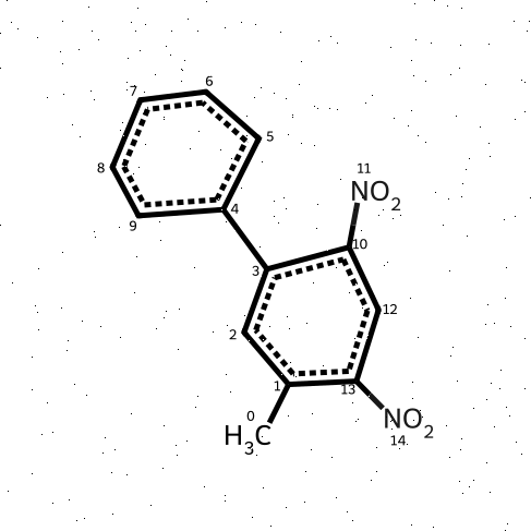 Cc1cc(-c2ccccc2)c([N+](=O)[O-])cc1[N+](=O)[O-]